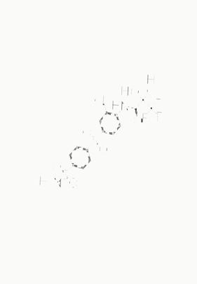 CC(O)(C(=O)Nc1ccc(S(=O)(=O)c2ccc(S(N)(=O)=O)cc2)cc1Cl)C(F)(F)F